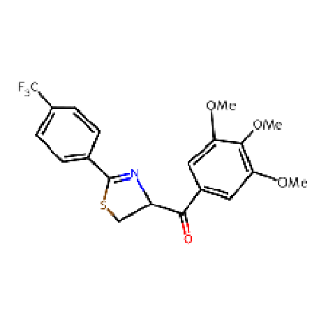 COc1cc(C(=O)C2CSC(c3ccc(C(F)(F)F)cc3)=N2)cc(OC)c1OC